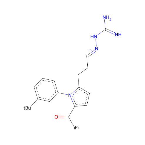 CC(C)C(=O)c1ccc(CC/C=N/NC(=N)N)n1-c1cccc(C(C)(C)C)c1